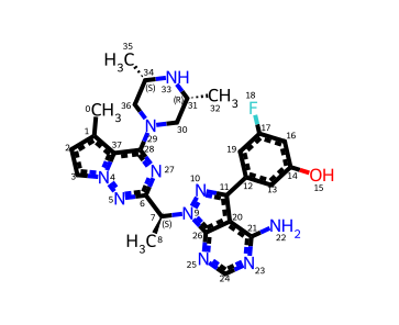 Cc1ccn2nc([C@H](C)n3nc(-c4cc(O)cc(F)c4)c4c(N)ncnc43)nc(N3C[C@@H](C)N[C@@H](C)C3)c12